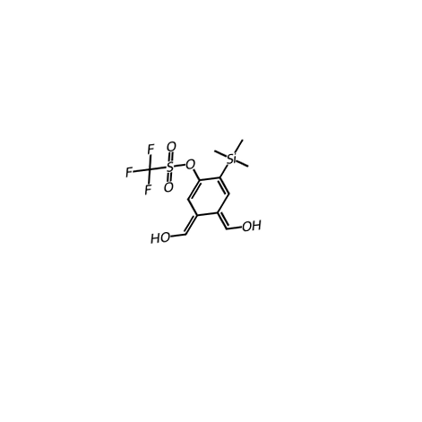 C[Si](C)(C)c1cc(=CO)c(=CO)cc1OS(=O)(=O)C(F)(F)F